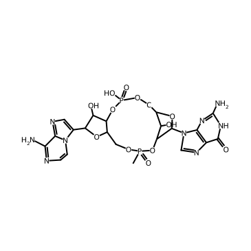 CP1(=O)OCC2OC(c3cnc4c(N)nccn34)C(O)C2OP(=O)(O)OCC2OC(n3cnc4c(=O)[nH]c(N)nc43)C(O1)C2O